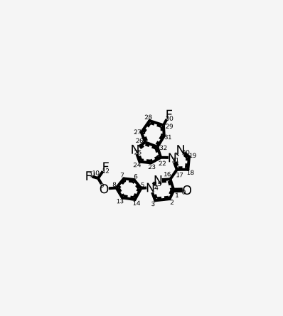 O=c1ccn(-c2ccc(OC(F)F)cc2)nc1-c1ccnn1-c1ccnc2ccc(F)cc12